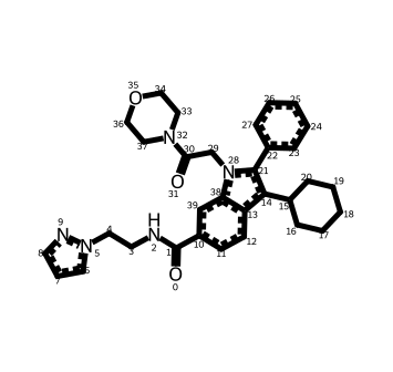 O=C(NCCn1cccn1)c1ccc2c(C3CCCCC3)c(-c3ccccc3)n(CC(=O)N3CCOCC3)c2c1